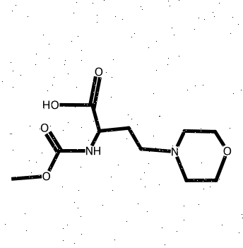 COC(=O)NC(CCN1CCOCC1)C(=O)O